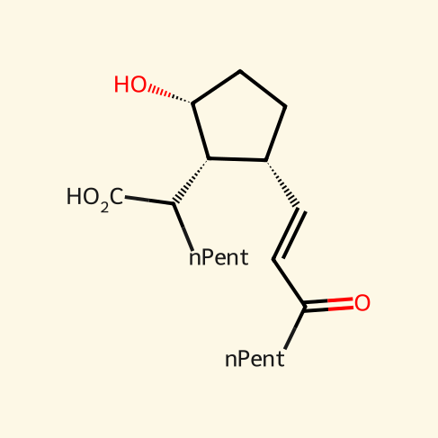 CCCCCC(=O)C=C[C@H]1CC[C@@H](O)[C@H]1C(CCCCC)C(=O)O